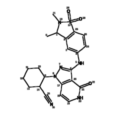 CC1c2cc(Nc3nn(C4CCCCC4C#N)c4cc[nH]c(=O)c34)ccc2S(=O)(=O)N1C